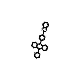 c1cnc(-c2c3ccccc3c(-c3ccc(-c4nc5ccccc5o4)cc3)c3ccccc23)nc1